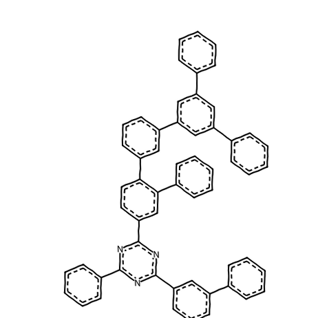 c1ccc(-c2cc(-c3ccccc3)cc(-c3cccc(-c4ccc(-c5nc(-c6ccccc6)nc(-c6cccc(-c7ccccc7)c6)n5)cc4-c4ccccc4)c3)c2)cc1